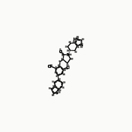 O=C1C(Cc2c(Cl)cc(-c3ccc4sccc4c3)cc2Cl)CCN1[C@@H]1CCc2[nH]cnc2C1